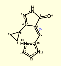 O=C1NN=C(C2CC2)/C1=C\c1ncc[nH]1